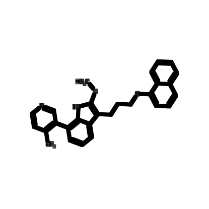 Cc1ccncc1-c1cccc2c(CCCOc3cccc4ccccc34)c(OC(=O)O)[nH]c12